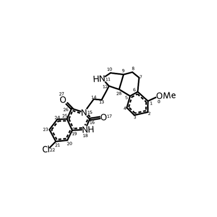 COc1cccc2c1CCC1CNC(CCn3c(=O)[nH]c4cc(Cl)ccc4c3=O)C21